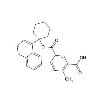 Cc1ccc(C(=O)OC2(c3cccc4ccccc34)CC[CH]CC2)cc1C(=O)O